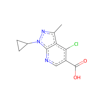 Cc1nn(C2CC2)c2ncc(C(=O)O)c(Cl)c12